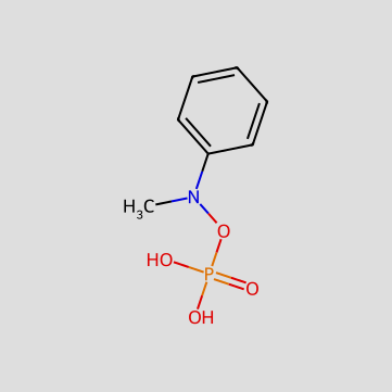 CN(OP(=O)(O)O)c1ccccc1